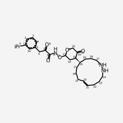 CC(C)c1cccc(CC(=O)C(=O)NOC2CC([C@@H]3CCC/C=C/CCCNNCCC3)C(=O)CO2)c1